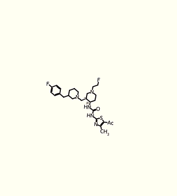 CC(=O)c1sc(NC(=O)N[C@@H]2CCN(CCF)C[C@@H]2CN2CCCC(Cc3ccc(F)cc3)C2)nc1C